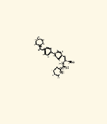 N#C[C@H](Cc1ccc(-c2ccc(CN3CCOCC3)cc2)cc1)NC(=O)C1CCCCN1